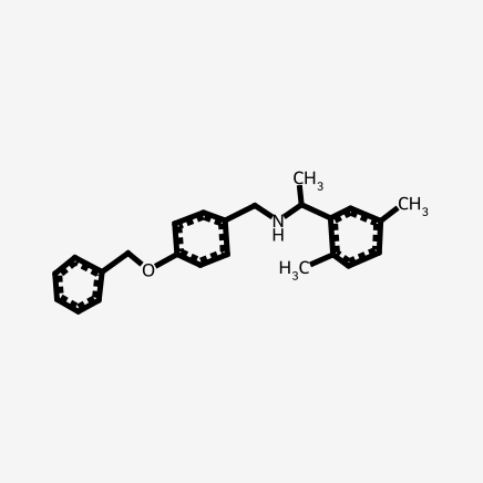 Cc1ccc(C)c(C(C)NCc2ccc(OCc3ccccc3)cc2)c1